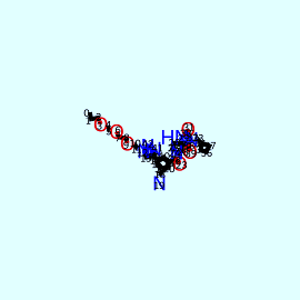 CCCOCCOCCOCCn1cc(-c2cc(C#N)cc(C(=O)N3CCC4(C3)NC(=O)N(CC3CCC3)C4=O)c2)nn1